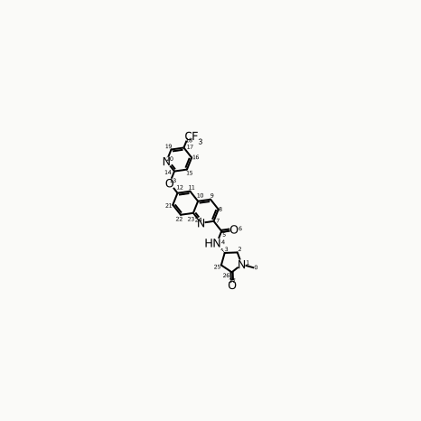 CN1C[C@@H](NC(=O)c2ccc3cc(Oc4ccc(C(F)(F)F)cn4)ccc3n2)CC1=O